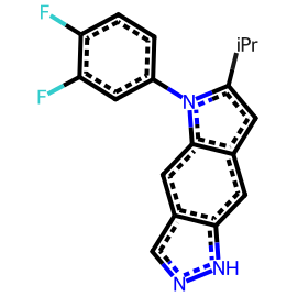 CC(C)c1cc2cc3[nH]ncc3cc2n1-c1ccc(F)c(F)c1